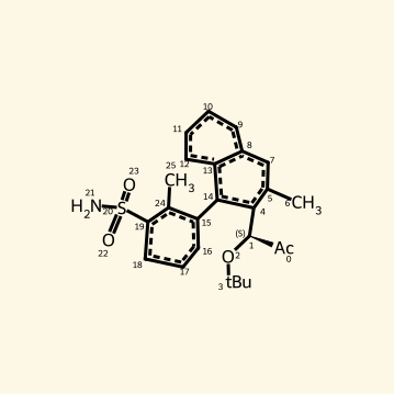 CC(=O)[C@@H](OC(C)(C)C)c1c(C)cc2ccccc2c1-c1cccc(S(N)(=O)=O)c1C